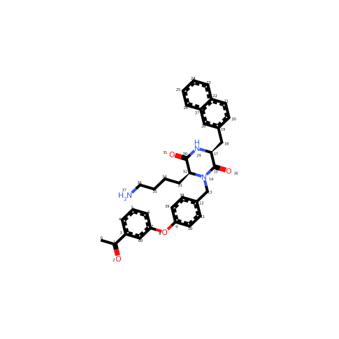 CC(=O)c1cccc(Oc2ccc(CN3C(=O)[C@H](Cc4ccc5ccccc5c4)NC(=O)[C@@H]3CCCCN)cc2)c1